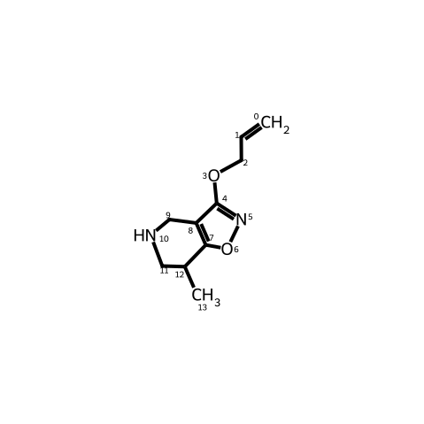 C=CCOc1noc2c1CNCC2C